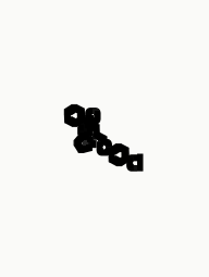 O=S(=O)(CC(COc1ccc(Cl)cc1)N1CCCC1)c1ccccc1